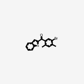 Cc1cc(C)c(C(=O)c2cc3ccccc3s2)cc1Br